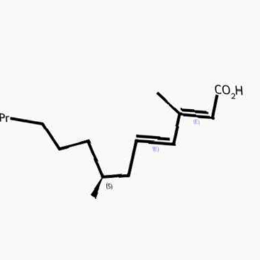 CC(/C=C/C[C@@H](C)CCCC(C)C)=C\C(=O)O